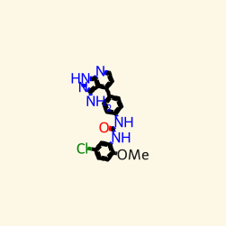 COc1ccc(Cl)cc1NC(=O)Nc1ccc(-c2ccnc3[nH]nc(N)c23)cc1